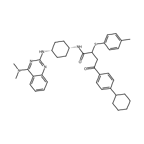 Cc1ccc(SC(CC(=O)c2ccc(C3CCCCC3)cc2)C(=O)N[C@H]2CC[C@@H](Nc3nc(N(C)C)c4ccccc4n3)CC2)cc1